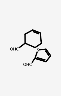 O=CC1CC=CCC1.O=Cc1cccs1